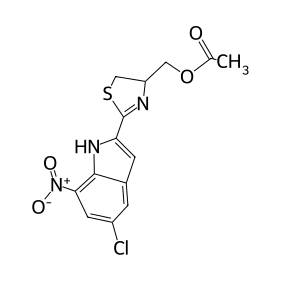 CC(=O)OCC1CSC(c2cc3cc(Cl)cc([N+](=O)[O-])c3[nH]2)=N1